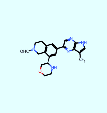 O=CN1CCc2cc(-c3cnc4[nH]cc(C(F)(F)F)c4n3)cc([C@@H]3COCCN3)c2C1